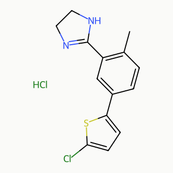 Cc1ccc(-c2ccc(Cl)s2)cc1C1=NCCN1.Cl